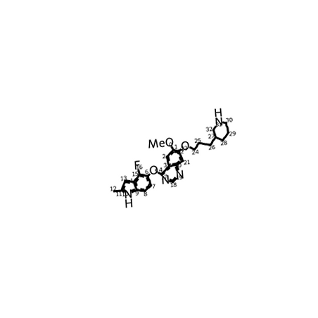 COc1cc2c(Oc3ccc4[nH]c(C)cc4c3F)ncnc2cc1OCCCC1CCCNC1